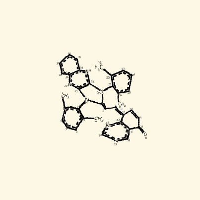 Cc1cccc(C)c1N1C(=C/C=C2/C=CC(=O)c3cncnc32)N(c2c(C)cccc2C)c2nc3ccccc3nc21